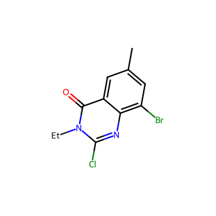 CCn1c(Cl)nc2c(Br)cc(C)cc2c1=O